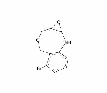 Brc1cccc2c1COCC1OC1N2